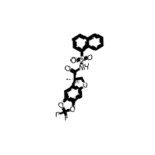 C[C@]1(C(=O)NS(=O)(=O)c2cccc3ccccc23)COc2cc3c(cc21)OC(F)(F)O3